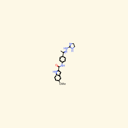 COc1ccc2[nH]c(C(=O)Nc3ccc(/C(C)=N/NC4=NCCN4)cc3)cc2c1